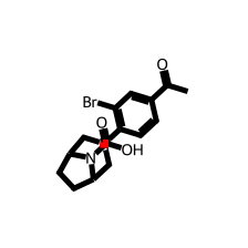 CC(=O)c1ccc(N2CC3CCC(C2)N3C(=O)O)c(Br)c1